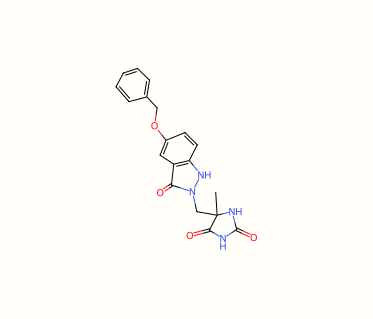 CC1(Cn2[nH]c3ccc(OCc4ccccc4)cc3c2=O)NC(=O)NC1=O